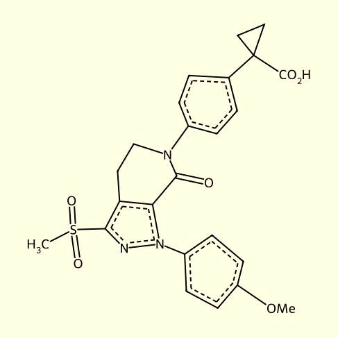 COc1ccc(-n2nc(S(C)(=O)=O)c3c2C(=O)N(c2ccc(C4(C(=O)O)CC4)cc2)CC3)cc1